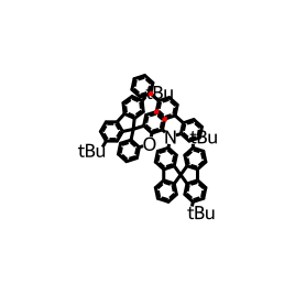 CC(C)(C)c1ccc2c(c1)C1(c3ccccc3-c3ccc(N(c4ccccc4-c4ccc(-c5ccccc5)cc4)c4cccc5c4Oc4ccccc4C54c5cc(C(C)(C)C)ccc5-c5ccc(C(C)(C)C)cc54)cc31)c1cc(C(C)(C)C)ccc1-2